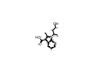 Cc1c(C(=O)O)c2cccnc2n1C(C)CCO